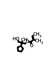 CC=C(C)C(=O)OCC(C)(CO)C1CCCC1